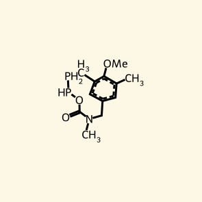 COc1c(C)cc(CN(C)C(=O)OPP)cc1C